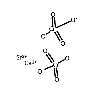 [Ca+2].[O]=[Cr](=[O])([O-])[O-].[O]=[Cr](=[O])([O-])[O-].[Sr+2]